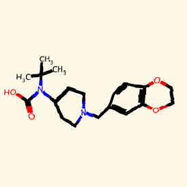 CC(C)(C)N(C(=O)O)C1CCN(Cc2ccc3c(c2)OCCO3)CC1